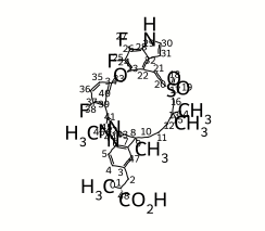 C[C@H](Cc1cccc([C@@]2(C)CCCC(C)(C)CS(=O)(=O)/C=C/c3c(c(F)c(F)c4[nH]ccc34)Oc3ccc(F)c(c3)-c3nc2nn3C)c1)C(=O)O